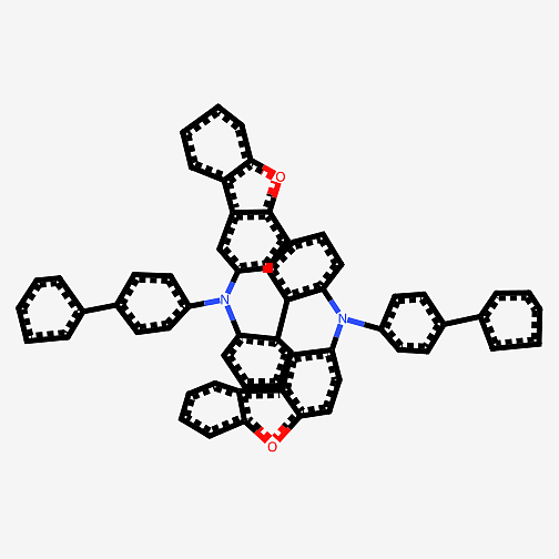 c1ccc(-c2ccc(N(c3ccc4oc5ccccc5c4c3)c3ccccc3-c3ccccc3N(c3ccc(-c4ccccc4)cc3)c3ccc4oc5ccccc5c4c3)cc2)cc1